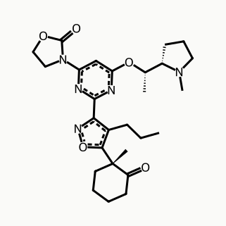 CCCc1c(-c2nc(O[C@@H](C)[C@@H]3CCCN3C)cc(N3CCOC3=O)n2)noc1[C@@]1(C)CCCCC1=O